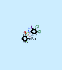 CCCCc1c(F)cccc1S(=O)(=O)Nc1ccc(Cl)c(Cl)c1I